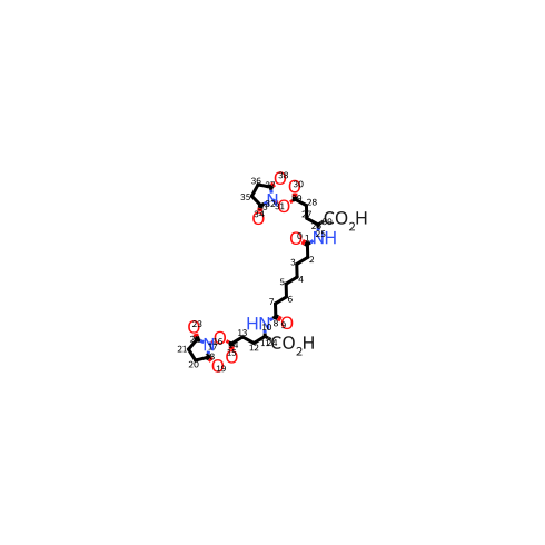 O=C(CCCCCCC(=O)NC(CCC(=O)ON1C(=O)CCC1=O)C(=O)O)NC(CCC(=O)ON1C(=O)CCC1=O)C(=O)O